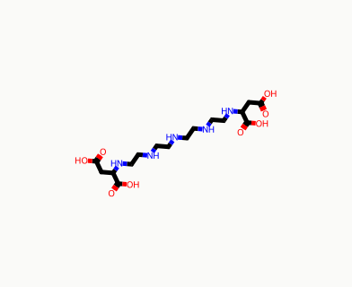 O=C(O)CC(NCCNCCNCCNCCNC(CC(=O)O)C(=O)O)C(=O)O